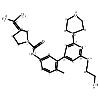 Cc1ccc(NC(=O)N2CCC(=C(C(F)(F)F)C(F)(F)F)C2)cc1-c1cc(OCCO)nc(N2CCOCC2)c1